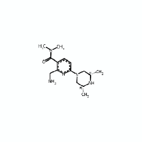 C[C@@H]1CN(c2ccc(C(=O)N(C)C)c(CN)n2)C[C@H](C)N1